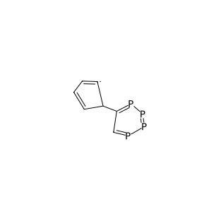 [C]1=CC=CC1c1cpppp1